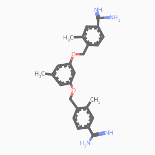 Cc1cc(OCc2ccc(C(=N)N)cc2C)cc(OCc2ccc(C(=N)N)cc2C)c1